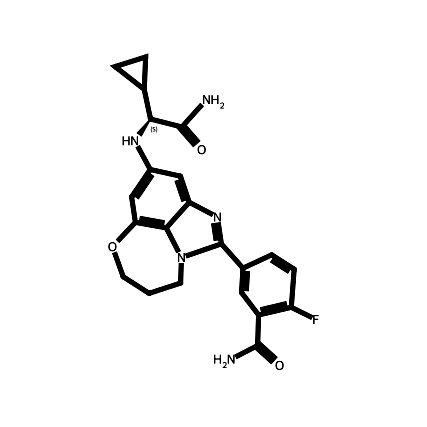 NC(=O)c1cc(-c2nc3cc(N[C@H](C(N)=O)C4CC4)cc4c3n2CCCO4)ccc1F